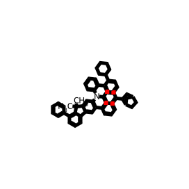 CC1(C)c2cc(N(c3ccc(C4CC5CCC4C5)cc3)c3ccccc3-c3ccccc3C3CCCCC3)c(-c3ccccc3)cc2-c2cccc(-c3ccccc3)c21